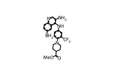 Bc1ccc2ncc(N)c(Nc3ccc(N4CCC(C(=O)OC)CC4)c(C(F)(F)F)c3)c2c1